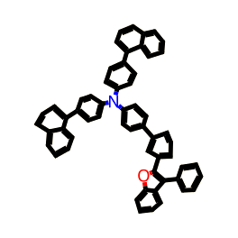 c1ccc(-c2c(-c3cccc(-c4ccc(N(c5ccc(-c6cccc7ccccc67)cc5)c5ccc(-c6cccc7ccccc67)cc5)cc4)c3)oc3ccccc23)cc1